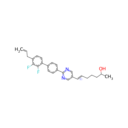 C=CCc1ccc(-c2ccc(-c3ncc(/C=C/CCCC(C)O)cn3)cc2)c(F)c1F